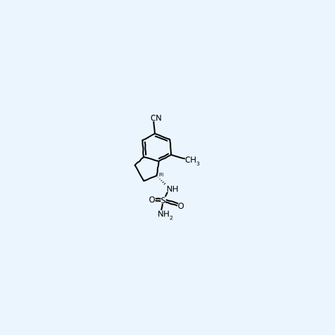 Cc1cc(C#N)cc2c1[C@H](NS(N)(=O)=O)CC2